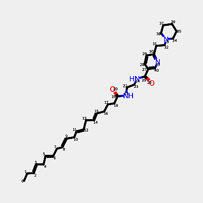 CCC=CCC=CCC=CCC=CCC=CCCCC(=O)NCCNC(=O)c1ccc(CCN2CCCCC2)nc1